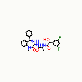 C[C@H](NC(=O)C(O)c1cc(F)cc(F)c1)C(=O)NC1N=C(c2ccccc2)c2ccccc2N(C)C1=O